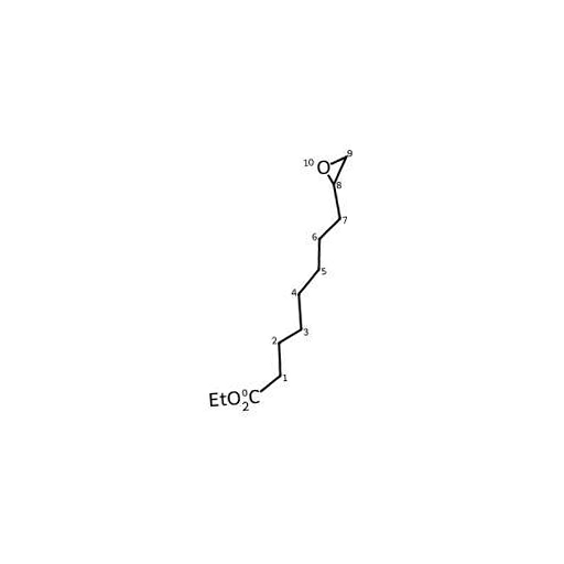 CCOC(=O)CCCCCCCC1CO1